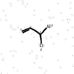 C=C[CH]([Al])Cl